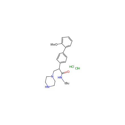 COc1ccccc1-c1ccc(C(CN2CCNCC2)C(=O)NC(C)(C)C)cc1.Cl.Cl